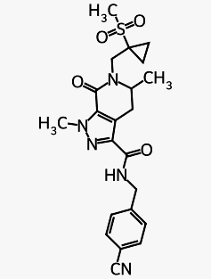 CC1Cc2c(C(=O)NCc3ccc(C#N)cc3)nn(C)c2C(=O)N1CC1(S(C)(=O)=O)CC1